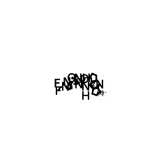 C[C@@H]1CCc2c1nc1c(c2NC(=O)N=[S@](N)(=O)c2ccn(C(F)F)n2)CCC1